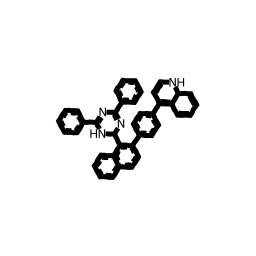 C1=CC2=C(c3ccc(-c4ccc5ccccc5c4C4N=C(c5ccccc5)N=C(c5ccccc5)N4)cc3)C=CNC2C=C1